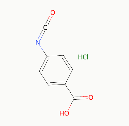 Cl.O=C=Nc1ccc(C(=O)O)cc1